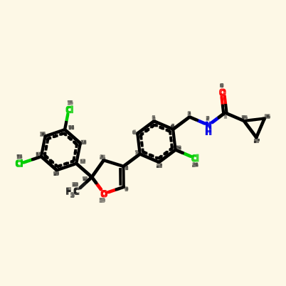 O=C(NCc1ccc(C2=COC(c3cc(Cl)cc(Cl)c3)(C(F)(F)F)C2)cc1Cl)C1CC1